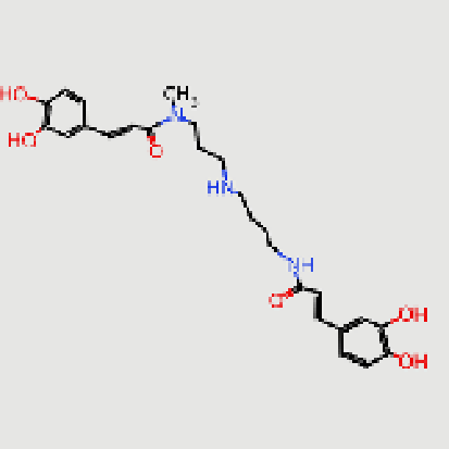 CN(CCCNCCCCNC(=O)/C=C/c1ccc(O)c(O)c1)C(=O)/C=C/c1ccc(O)c(O)c1